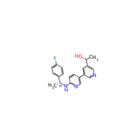 CC(O)c1cncc(-c2ccc(N[C@H](C)c3ccc(F)cc3)nc2)c1